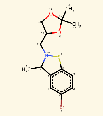 CC1c2cc(Br)ccc2SN1CC1COC(C)(C)O1